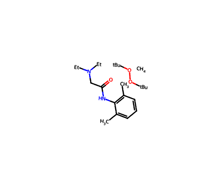 C.CC(C)(C)OOC(C)(C)C.CCN(CC)CC(=O)Nc1c(C)cccc1C